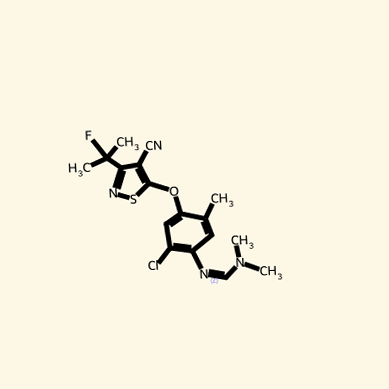 Cc1cc(/N=C\N(C)C)c(Cl)cc1Oc1snc(C(C)(C)F)c1C#N